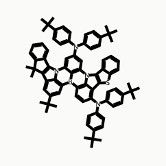 CC(C)(C)c1ccc(N(c2ccc(C(C)(C)C)cc2)c2cc3c4c(c2)-n2c5c(ccc(N(c6ccc(C(C)(C)C)cc6)c6ccc(C(C)(C)C)cc6)c5c5sc6ccccc6c52)B4c2cc(C(C)(C)C)cc4c5c(n-3c24)-c2ccccc2C5(C)C)cc1